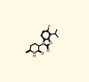 C=C1CCC(n2c(=O)oc3c(C(C)C)c(F)ccc32)C(=O)N1